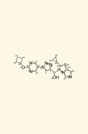 OC(c1cn(-c2cnc(OC3CCC3)nc2)nn1)c1c(C2CC2)sc2cncn12